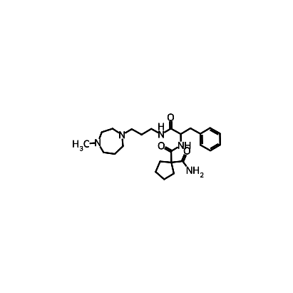 CN1CCCN(CCCNC(=O)C(Cc2ccccc2)NC(=O)C2(C(N)=O)CCCC2)CC1